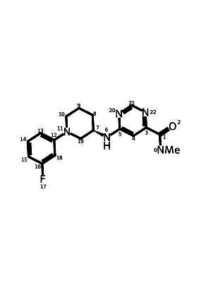 CNC(=O)c1cc(N[C@@H]2CCCN(c3cccc(F)c3)C2)ncn1